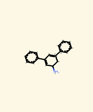 NC1C=C(c2ccccc2)C=C(c2ccccc2)C1